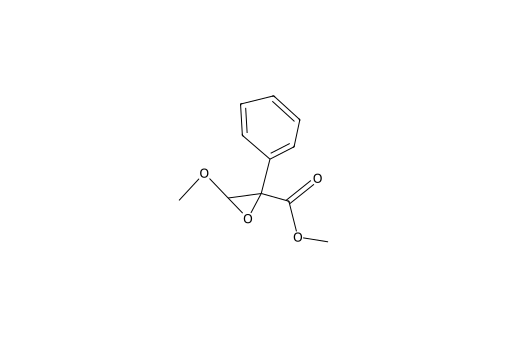 COC(=O)C1(c2ccccc2)OC1OC